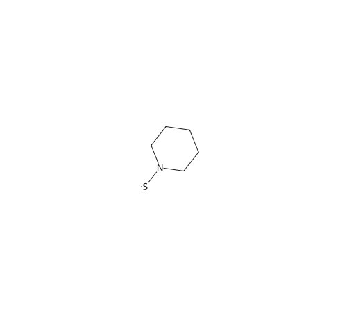 [S]N1CCCCC1